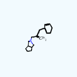 C=C(CC1=CCCC=C1)CN1CC2CCCC2C1